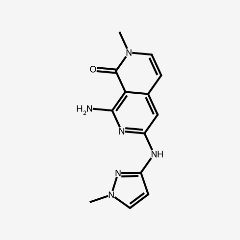 Cn1ccc(Nc2cc3ccn(C)c(=O)c3c(N)n2)n1